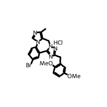 COc1ccc(OC)c(Cc2nc3n(n2)Cc2c(C)ncn2-c2ccc(Br)cc2-3)c1.Cl